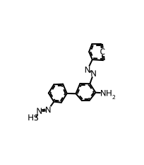 Nc1ccc(-c2cccc(N=NS)c2)cc1N=Nc1ccccc1